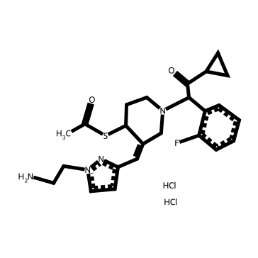 CC(=O)SC1CCN(C(C(=O)C2CC2)c2ccccc2F)CC1=Cc1ccn(CCN)n1.Cl.Cl